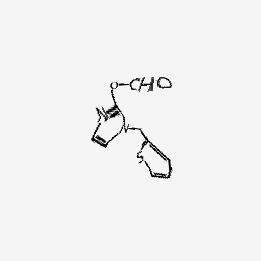 O=COc1nccn1Cc1cccs1